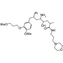 COCCCOc1cc(CC(CC(N)C(O)CC(C)C(=O)NCCCN2CCOCC2)C(C)C)ccc1OC